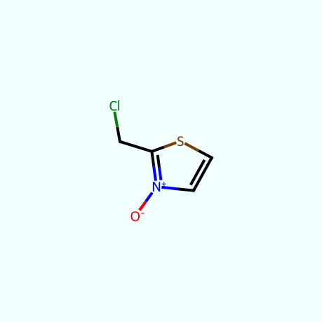 [O-][n+]1ccsc1CCl